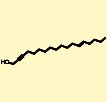 CCCCC=CCCCCCCCCCC#CCO